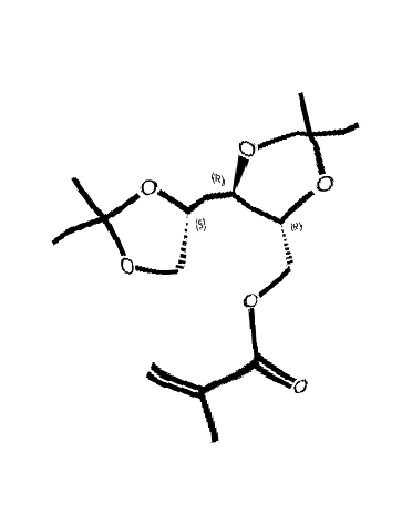 C=C(C)C(=O)OC[C@H]1OC(C)(C)O[C@@H]1[C@@H]1COC(C)(C)O1